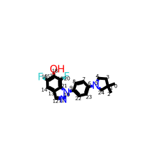 CC1(C)CCN(c2ccc(-n3ncc4cc(F)c(O)c(F)c43)cc2)C1